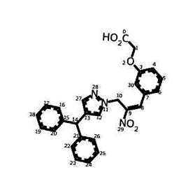 O=C(O)COc1cccc(C=C(Cn2cc(C(c3ccccc3)c3ccccc3)cn2)[N+](=O)[O-])c1